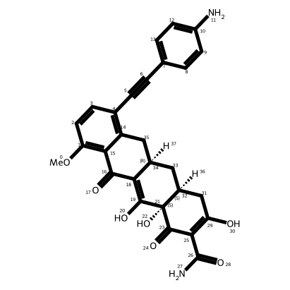 COc1ccc(C#Cc2ccc(N)cc2)c2c1C(=O)C1=C(O)[C@]3(O)C(=O)C(C(N)=O)=C(O)C[C@@H]3C[C@@H]1C2